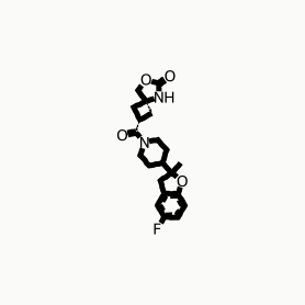 CC1(C2CCN(C(=O)[C@H]3C[C@@]4(COC(=O)N4)C3)CC2)Cc2cc(F)ccc2O1